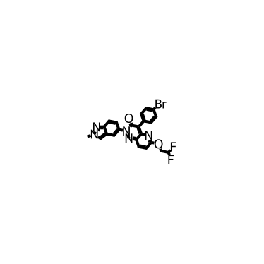 Cn1cc2cc(-n3nc4ccc(OCC(F)F)nc4c(-c4ccc(Br)cc4)c3=O)ccc2n1